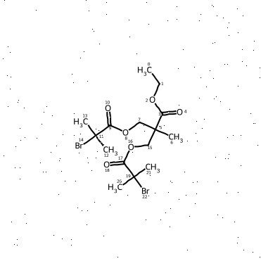 CCOC(=O)C(C)(COC(=O)C(C)(C)Br)COC(=O)C(C)(C)Br